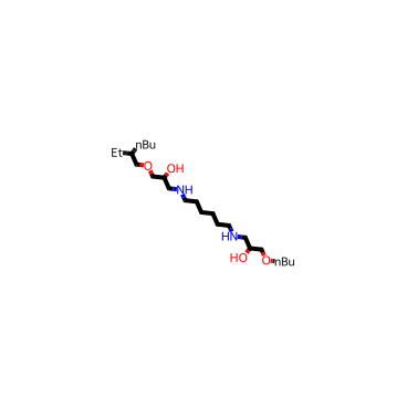 CCCCOCC(O)CNCCCCCCNCC(O)COCC(CC)CCCC